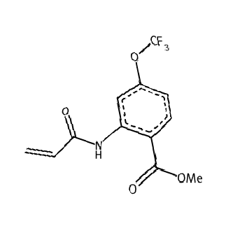 C=CC(=O)Nc1cc(OC(F)(F)F)ccc1C(=O)OC